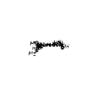 C#Cc1ccc(CNC(=O)[C@@H]2C[C@@H](O)CN2C(=O)[C@@H](NC(=O)[C@H]2CCC3(CC2)C[C@H](N2CCC(c4ccc(N5CCN(c6cc(-c7ccccc7O)nnc6NCC)CC5)nc4)CC2)C3)C(C)(C)C)cc1